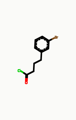 O=C(Cl)CCCc1cccc(Br)c1